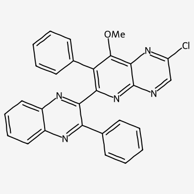 COc1c(-c2ccccc2)c(-c2nc3ccccc3nc2-c2ccccc2)nc2ncc(Cl)nc12